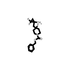 CC1(CC2(F)CCN(C(=O)OCc3ccccc3)CC2)CC1(F)F